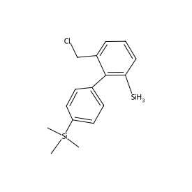 C[Si](C)(C)c1ccc(-c2c([SiH3])cccc2CCl)cc1